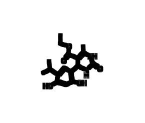 CCOC(=O)C1=C(C)NC(=O)NC1c1cc(C(C)C)c(O)cc1O